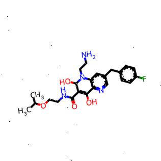 CC(C)OCCNC(=O)C1=C(O)c2ncc(Cc3ccc(F)cc3)cc2N(CCN)C1O